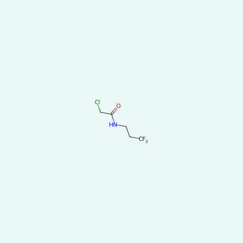 O=C(CCl)NCCC(F)(F)F